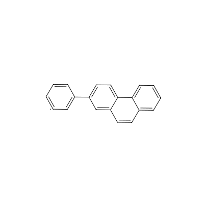 [c]1cccc(-c2ccc3c(ccc4ccccc43)c2)c1